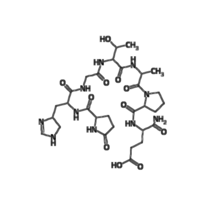 CC(NC(=O)C(NC(=O)CNC(=O)C(CC1CNC=N1)NC(=O)C1CCC(=O)N1)C(C)O)C(=O)N1CCCC1C(=O)NC(CCC(=O)O)C(N)=O